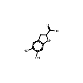 O=C(O)C1Cc2cc(O)c(O)cc2N1